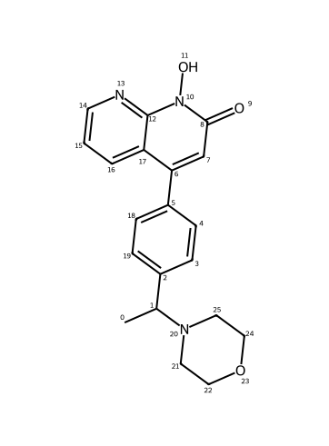 CC(c1ccc(-c2cc(=O)n(O)c3ncccc23)cc1)N1CCOCC1